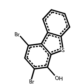 Oc1c(Br)cc(Br)c2c1sc1ccccc12